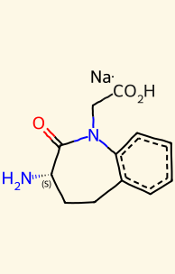 N[C@H]1CCc2ccccc2N(CC(=O)O)C1=O.[Na]